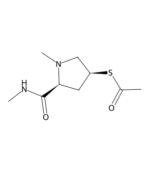 CNC(=O)[C@@H]1C[C@H](SC(C)=O)CN1C